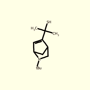 CC(C)(S)C1=CC2CC1CN2C(C)(C)C